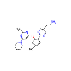 Cc1nc(Oc2cc(C#N)ccc2-c2ncc(CCN)cn2)cc(N2CCCCC2)n1